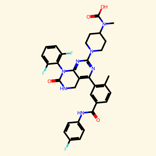 Cc1ccc(C(=O)Nc2ccc(F)cc2)cc1-c1nc(N2CCC(N(C)C(=O)O)CC2)nc2c1CNC(=O)N2c1c(F)cccc1F